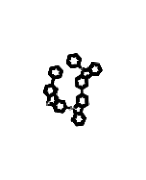 c1ccc(-c2ccc3oc4ccc(-n5c6ccccc6c6ccc(-c7ccc8c(c7)c7ccccc7n8-c7ccccc7)cc65)cc4c3c2)cc1